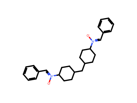 [O-][N+](=Cc1ccccc1)C1CCC(CC2CCC([N+]([O-])=Cc3ccccc3)CC2)CC1